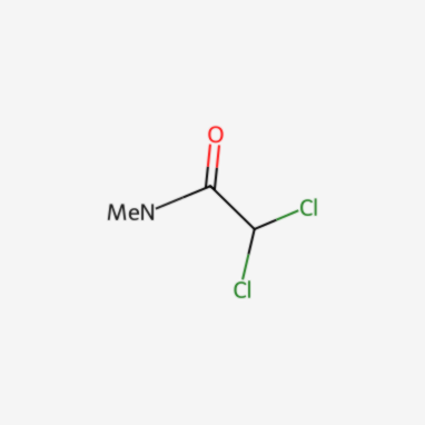 CNC(=O)C(Cl)Cl